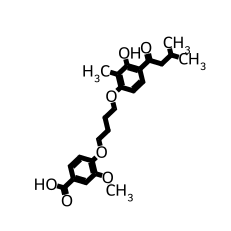 COc1cc(C(=O)O)ccc1OCCCCOc1ccc(C(=O)CC(C)C)c(O)c1C